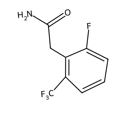 NC(=O)Cc1c(F)cccc1C(F)(F)F